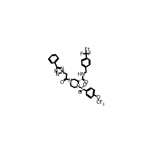 CCC(F)(F)c1ccc(CNC(=O)[C@H]2CN(C(=O)Cn3nnc(-c4ccccc4)n3)CCN2S(=O)(=O)c2ccc(OC(F)(F)F)cc2)cc1